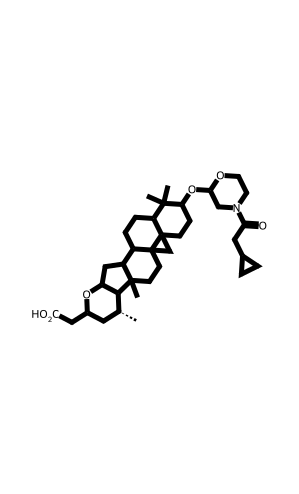 C[C@@H]1CC(CC(=O)O)OC2CC3C4CCC5C(C)(C)C(OC6CN(C(=O)CC7CC7)CCO6)CCC56CC46CCC3(C)C21